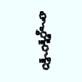 COc1cc2c(Nc3ccc(/C=C/C(=O)Nc4ccccc4C)cc3)ncnc2cc1OCCCN1CCOCC1